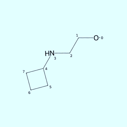 [O]CCNC1CCC1